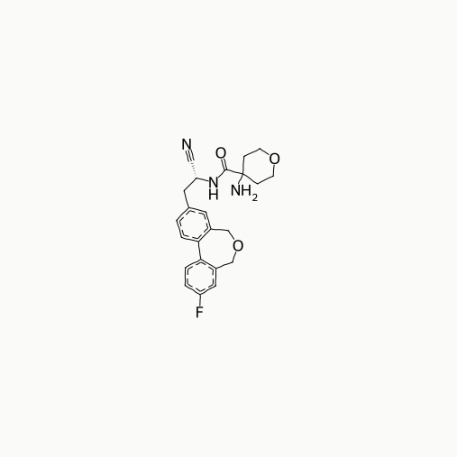 N#C[C@@H](Cc1ccc2c(c1)COCc1cc(F)ccc1-2)NC(=O)C1(N)CCOCC1